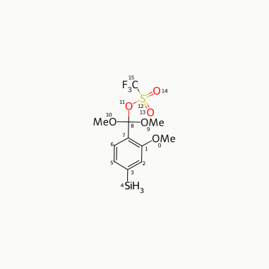 COc1cc([SiH3])ccc1C(OC)(OC)OS(=O)(=O)C(F)(F)F